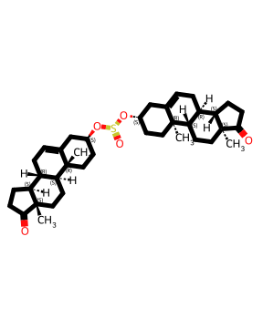 C[C@]12CC[C@H](OS(=O)O[C@H]3CC[C@@]4(C)C(=CC[C@@H]5[C@@H]4CC[C@]4(C)C(=O)CC[C@@H]54)C3)CC1=CC[C@@H]1[C@@H]2CC[C@]2(C)C(=O)CC[C@@H]12